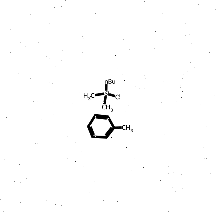 CCCC[Si](C)(C)Cl.Cc1ccccc1